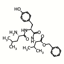 CC(C)C[C@H](N)C(=O)N[C@@H](Cc1ccc(O)cc1)C(=O)N[C@H](C(=O)OCc1ccccc1)C(C)C